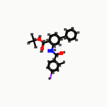 Cc1cc(I)ccc1C(=O)Nc1cc(-c2ccccc2)ccc1C(=O)OC(C)(C)C